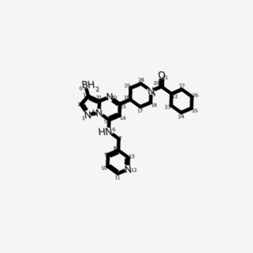 Bc1cnn2c(NCc3cccnc3)cc(C3CCN(C(=O)C4CCCCC4)CC3)nc12